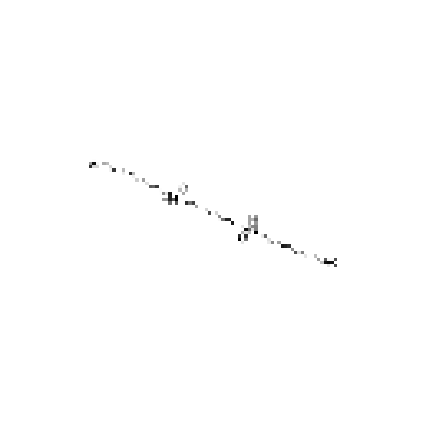 CC(=O)CCCCCCCCCCCNC(=O)CCCCCCCCCCC(=O)NCCCCCCCCCCCC(C)=O